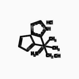 Cl.Cl.[CH3][Ti]([CH3])([CH3])(=[SiH2])([C]1=CC=CC1)[c]1ccc[nH]1